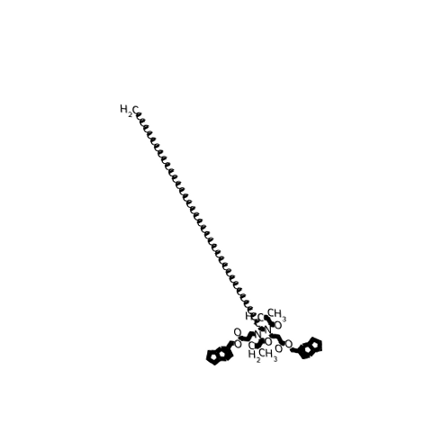 C=C=C=C=C=C=C=C=C=C=C=C=C=C=C=C=C=C=C=C=C=C=C=C=C=C=C=C=C=C=C=C=C=C=C=C(N(CCC(=O)OCC1CC2CC1C1CCCC21)C(=O)C(=C)C)N(CCC(=O)OCC1CC2CC1C1CCCC21)C(=O)C(=C)C